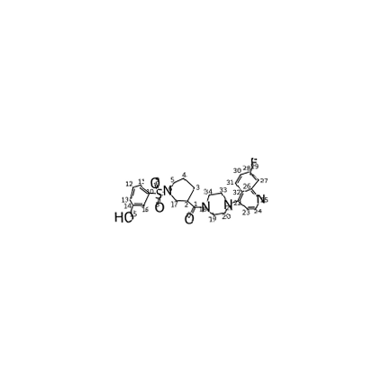 O=C(C1CCCN(S(=O)(=O)c2cccc(O)c2)C1)N1CCN(c2ccnc3cc(F)ccc23)CC1